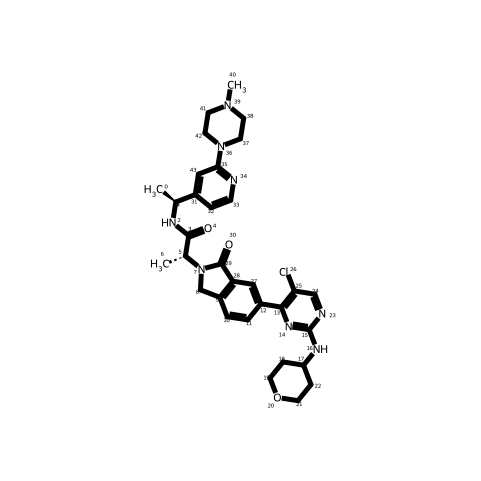 C[C@H](NC(=O)[C@@H](C)N1Cc2ccc(-c3nc(NC4CCOCC4)ncc3Cl)cc2C1=O)c1ccnc(N2CCN(C)CC2)c1